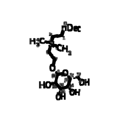 CCCCCCCCCCCC[Si](C)(C)CCO[C@@H]1O[C@H](CO)[C@H](O)[C@H](O)[C@H]1O